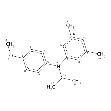 COc1ccc(N(c2cc(C)cc(C)c2)C(C)C)cc1